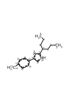 CCCC(CCC)c1nc(-c2ccc([11CH3])cc2)c[nH]1